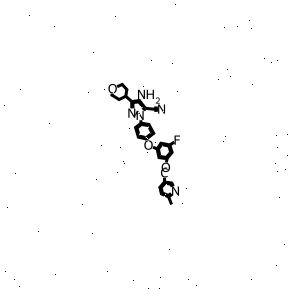 Cc1ccc(COc2cc(F)cc(Oc3ccc(-n4nc(C5CCOCC5)c(N)c4C#N)cc3)c2)cn1